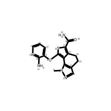 Cn1ncc2c1-c1c(Oc3cccnc3N)sc(C(N)=O)c1CC2